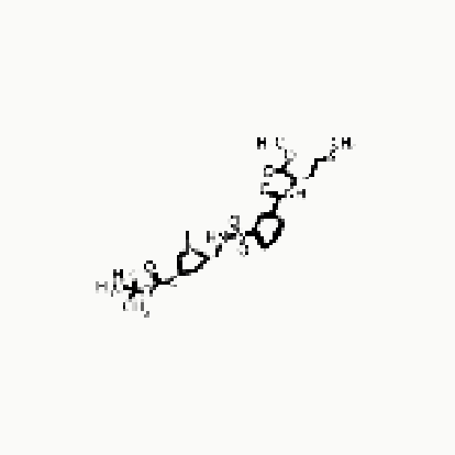 COC(=O)[C@H](CCSC)NC(=O)c1cccc(S(=O)(=O)NC[C@@H]2C[C@H](SC(=O)OC(C)(C)C)CN2)c1